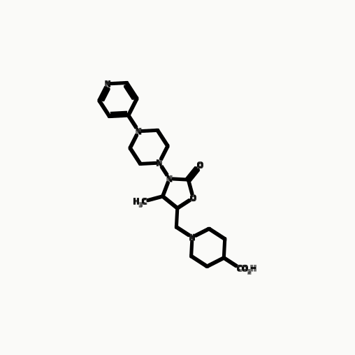 CC1C(CN2CCC(C(=O)O)CC2)OC(=O)N1N1CCN(c2ccncc2)CC1